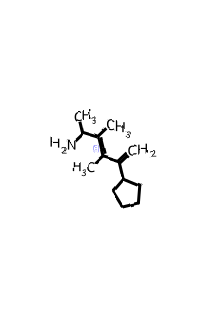 C=C(/C(C)=C(\C)C(C)N)C1CCCC1